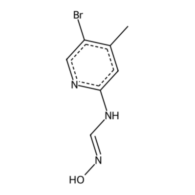 Cc1cc(N/C=N/O)ncc1Br